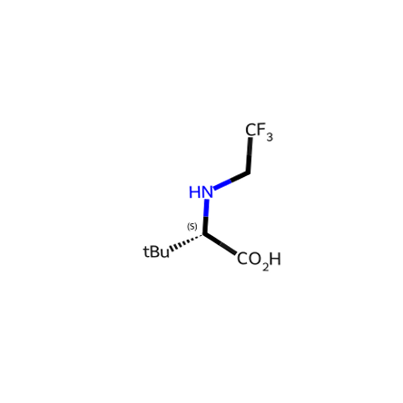 CC(C)(C)[C@H](NCC(F)(F)F)C(=O)O